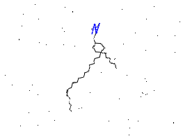 CCCCC/C=C\CC=CCCCCCCCCC1(CCCCCC)CCC(CCN(C)C)CC1